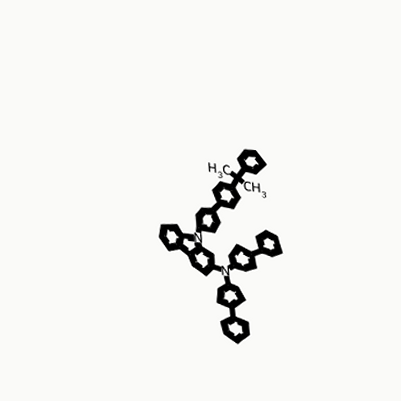 CC(C)(c1ccccc1)c1ccc(-c2ccc(-n3c4ccccc4c4ccc(N(c5ccc(-c6ccccc6)cc5)c5ccc(-c6ccccc6)cc5)cc43)cc2)cc1